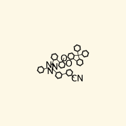 N#Cc1cccc(-c2cccc(-c3nc(-c4ccccc4)nc(-c4ccccc4-c4cccc5c4Oc4ccc6c(c4O5)-c4ccccc4C6(c4ccccc4)c4ccccc4)n3)c2)c1